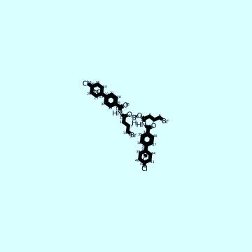 O=C(NC(CCCBr)OBOC(CCCBr)NC(=O)c1ccc(C23CCC(Cl)(CC2)CC3)cc1)c1ccc(C23CCC(Cl)(CC2)CC3)cc1